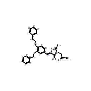 NC(=O)CN1C(=O)/C(=C/c2ccc(OCCc3ccccc3)c(OCc3ccccc3)c2)SC1=S